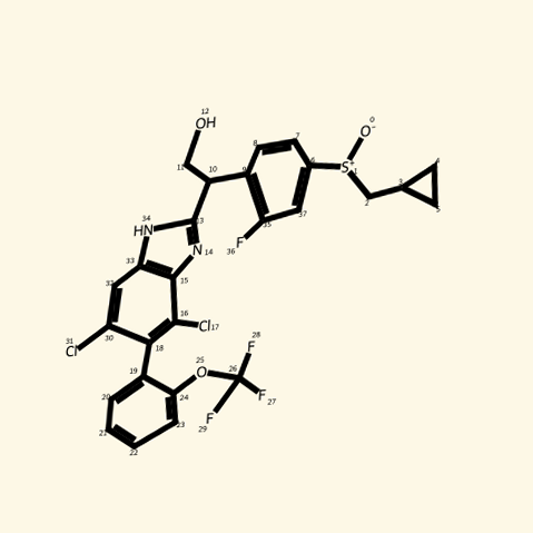 [O-][S+](CC1CC1)c1ccc(C(CO)c2nc3c(Cl)c(-c4ccccc4OC(F)(F)F)c(Cl)cc3[nH]2)c(F)c1